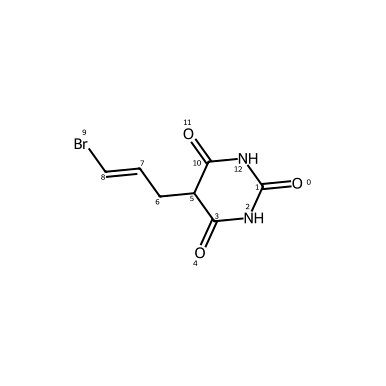 O=C1NC(=O)C(CC=CBr)C(=O)N1